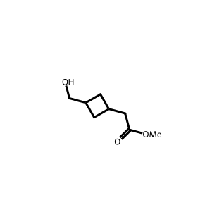 COC(=O)CC1CC(CO)C1